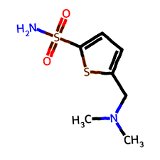 CN(C)Cc1ccc(S(N)(=O)=O)s1